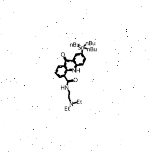 CCC[CH2][Sn]([CH2]CCC)([CH2]CCC)[c]1ccc2[nH]c3c(C(=O)NCCN(CC)CC)cccc3c(=O)c2c1